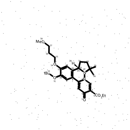 CCOC(=O)c1cn2c(cc1=O)-c1cc(OC(C)(C)C)c(OCCCOC)cc1[C@@H]1CCC(C)(C)N12